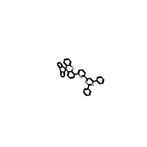 c1ccc(-c2cc(-c3cccc(-c4cccc5c4Sc4ccccc4C54c5ccccc5-c5ccccc54)n3)nc(-c3ccccc3)n2)cc1